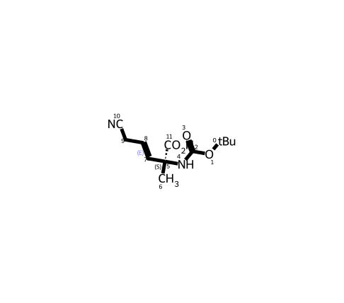 CC(C)(C)OC(=O)N[C@@](C)(/C=C/CC#N)C(=O)O